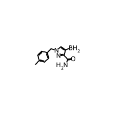 Bc1cn(Cc2ccc(C)cc2)nc1C(N)=O